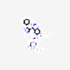 COc1cc2ncnc(-c3cn(C)nc3-c3ccccc3)c2cc1NC(=O)N1C[C@H](C)N(C(=O)O)C[C@@H]1C